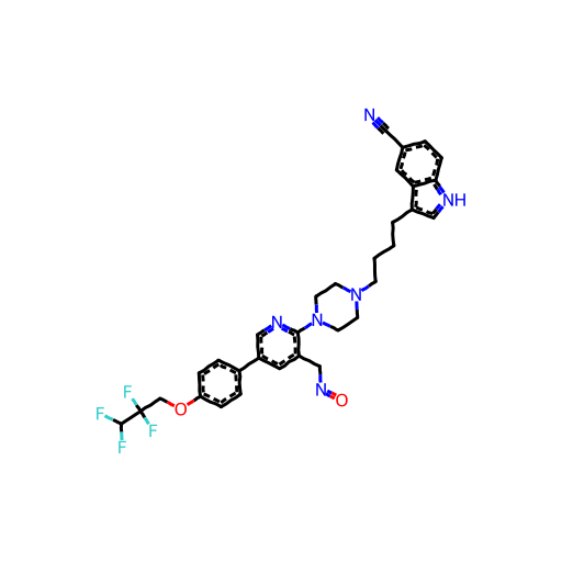 N#Cc1ccc2[nH]cc(CCCCN3CCN(c4ncc(-c5ccc(OCC(F)(F)C(F)F)cc5)cc4CN=O)CC3)c2c1